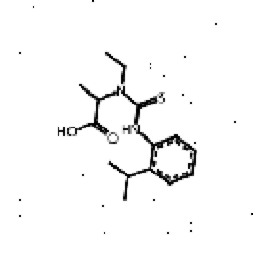 CCN(C(=S)Nc1ccccc1C(C)C)C(C)C(=O)O